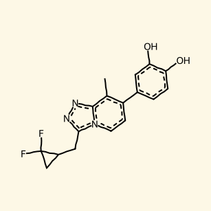 Cc1c(-c2ccc(O)c(O)c2)ccn2c(CC3CC3(F)F)nnc12